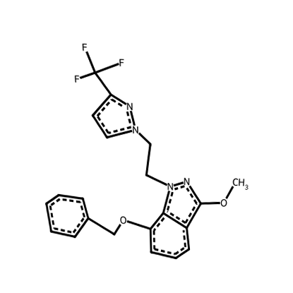 COc1nn(CCn2ccc(C(F)(F)F)n2)c2c(OCc3ccccc3)cccc12